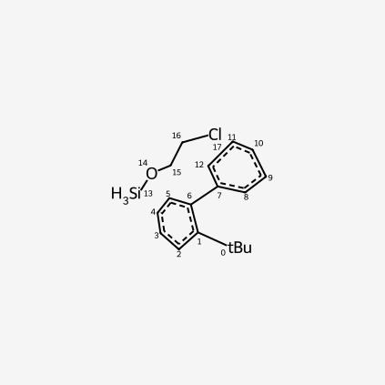 CC(C)(C)c1ccccc1-c1ccccc1.[SiH3]OCCCl